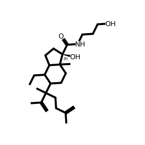 C=C(C)CCC(C)(C(=C)C)C1CCC2(C)C(CC[C@]2(O)C(=O)NCCCO)C1CC